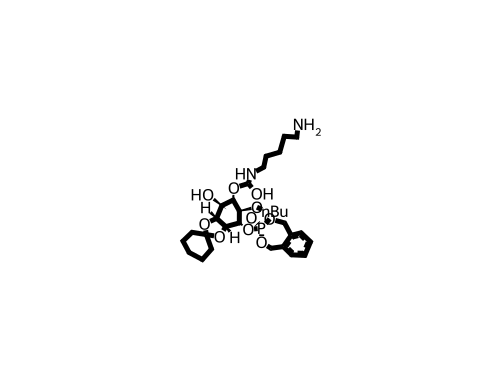 CCCCO[C@H]1[C@H](OP2(=O)OCc3ccccc3CO2)[C@@H]2OC3(CCCCC3)O[C@@H]2[C@@H](O)[C@@H]1OC(O)NCCCCCN